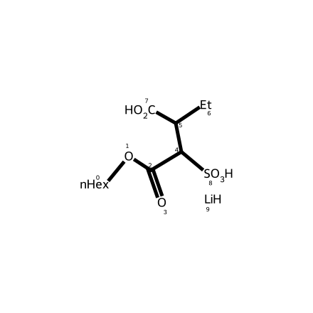 CCCCCCOC(=O)C(C(CC)C(=O)O)S(=O)(=O)O.[LiH]